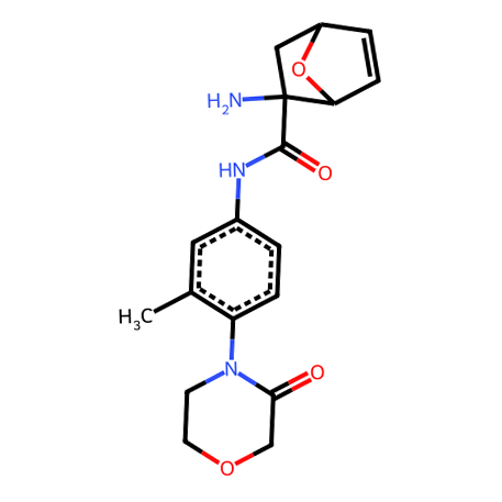 Cc1cc(NC(=O)C2(N)CC3C=CC2O3)ccc1N1CCOCC1=O